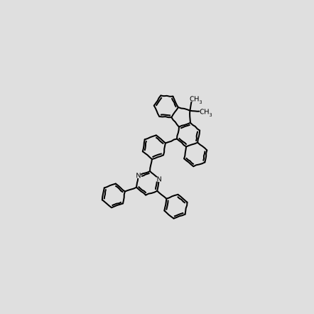 CC1(C)c2ccccc2-c2c1cc1ccccc1c2-c1cccc(-c2nc(-c3ccccc3)cc(-c3ccccc3)n2)c1